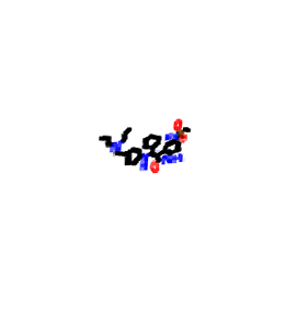 CCCN(CCC)Cc1ccc(N/C(=C2\C(=O)Nc3ccc(NS(=O)(=O)CC)cc32)c2ccccc2)cc1